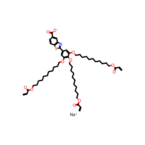 C=CC(=O)OCCCCCCCCCCCOc1cc(-c2nc3cc(C(=O)[O-])ccc3s2)cc(OCCCCCCCCCCCOC(=O)C=C)c1OCCCCCCCCCCCOC(=O)C=C.[Na+]